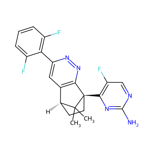 CC1(C)[C@H]2CC[C@@]1(c1nc(N)ncc1F)c1nnc(-c3c(F)cccc3F)cc12